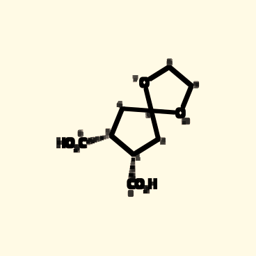 O=C(O)[C@H]1CC2(C[C@H]1C(=O)O)OCCO2